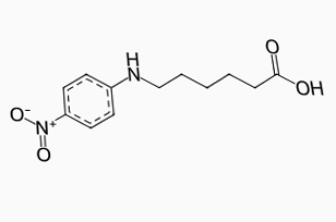 O=C(O)CCCCCNc1ccc([N+](=O)[O-])cc1